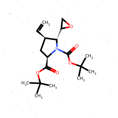 C=C[C@@H]1C[C@H](C(=O)OC(C)(C)C)N(C(=O)OC(C)(C)C)[C@H]1C1CO1